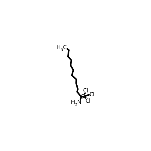 CCCCCCCCCCCC(N)[Si](Cl)(Cl)Cl